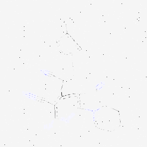 Cc1ccc(CC(C#N)c2c(C#N)c(N)nc(N3CCCCC3)c2C#N)cc1